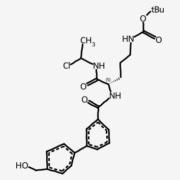 CC(Cl)NC(=O)[C@H](CCCNC(=O)OC(C)(C)C)NC(=O)c1cccc(-c2ccc(CO)cc2)c1